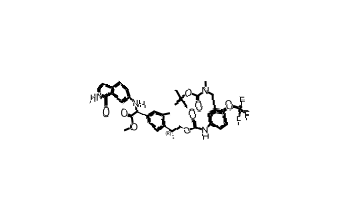 COC(=O)C(Nc1ccc2cc[nH]c(=O)c2c1)c1ccc([C@@H](C)COC(=O)Nc2ccc(OC(F)(F)F)c(CN(C)C(=O)OC(C)(C)C)c2)c(C)c1